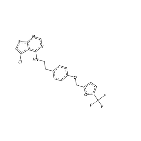 FC(F)(F)c1ccc(COc2ccc(CCNc3ncnc4scc(Cl)c34)cc2)o1